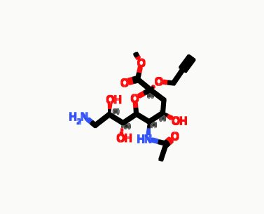 C#CCO[C@]1(C(=O)OC)C[C@@H](O)[C@@H](NC(C)=O)C([C@H](O)[C@H](O)CN)O1